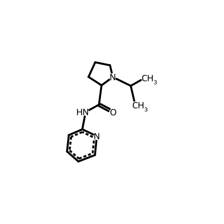 CC(C)N1CCCC1C(=O)Nc1ccccn1